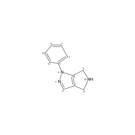 c1ccc(-n2ncc3c2CNC3)cc1